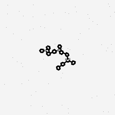 c1ccc(-c2ccc(-c3cc(-c4ccccc4)nc(-c4cccc(-c5ccc6c(c5)c5ccccc5n6-c5ccc(-c6cccc7c6c6ccccc6n7-c6ccccc6)cc5)c4)n3)cc2)cc1